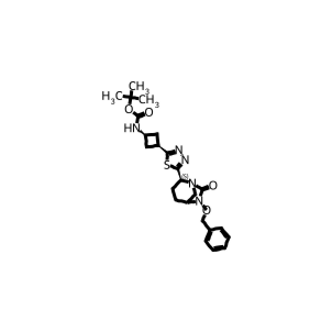 CC(C)(C)OC(=O)N[C@H]1C[C@@H](c2nnc([C@@H]3CCC4CN3C(=O)N4OCc3ccccc3)s2)C1